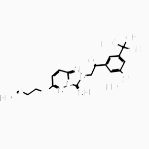 COCCOc1ccc2nn(CC(=O)c3cc(OC)cc(C(C)(C)C)c3)c(=N)n2n1